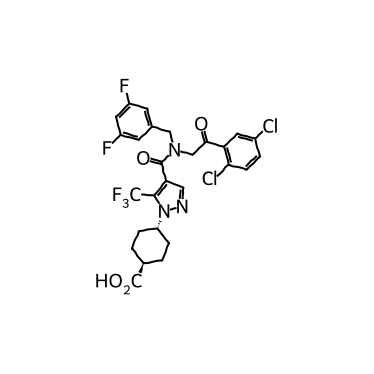 O=C(CN(Cc1cc(F)cc(F)c1)C(=O)c1cnn([C@H]2CC[C@H](C(=O)O)CC2)c1C(F)(F)F)c1cc(Cl)ccc1Cl